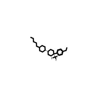 CCCCCC1CCC([C@H]2CC[C@@](c3ccc(CC)cc3)(C(F)(F)F)CC2)CC1